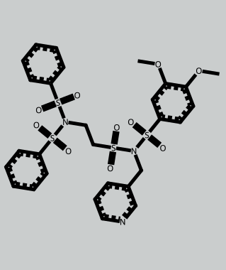 COc1ccc(S(=O)(=O)N(Cc2cccnc2)S(=O)(=O)CCN(S(=O)(=O)c2ccccc2)S(=O)(=O)c2ccccc2)cc1OC